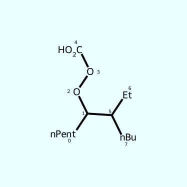 CCCCCC(OOC(=O)O)C(CC)CCCC